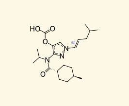 CC(C)C/C=C/n1cc(OC(=O)O)c(N(C(=O)[C@H]2CC[C@H](C)CC2)C(C)C)n1